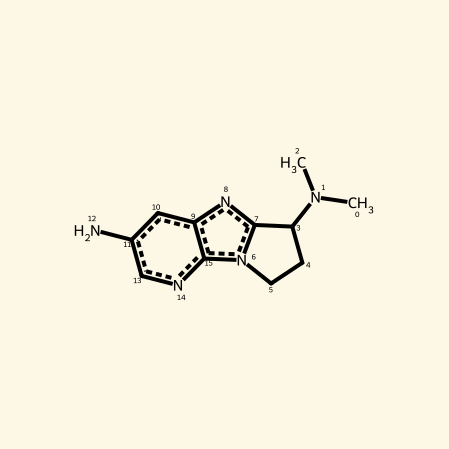 CN(C)C1CCn2c1nc1cc(N)cnc12